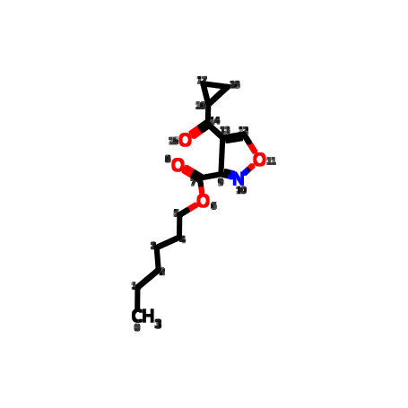 CCCCCCOC(=O)c1nocc1C(=O)C1CC1